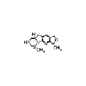 C[C@@H]1CNC[C@H]2Cc3cc4c(nc3N21)[C@@H](C)OC4